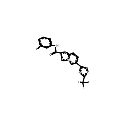 O=C(Nc1cccc(F)c1)c1cn2cc(-c3noc(C(F)(F)F)n3)ccc2n1